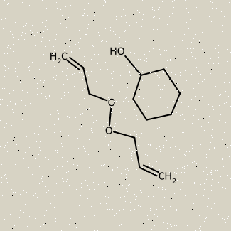 C=CCOOCC=C.OC1CCCCC1